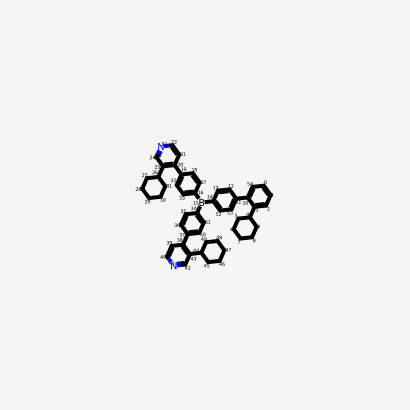 c1ccc(C2CCCCC2)c(-c2ccc(B(c3ccc(-c4ccncc4C4CCCCC4)cc3)c3ccc(-c4ccncc4C4CCCCC4)cc3)cc2)c1